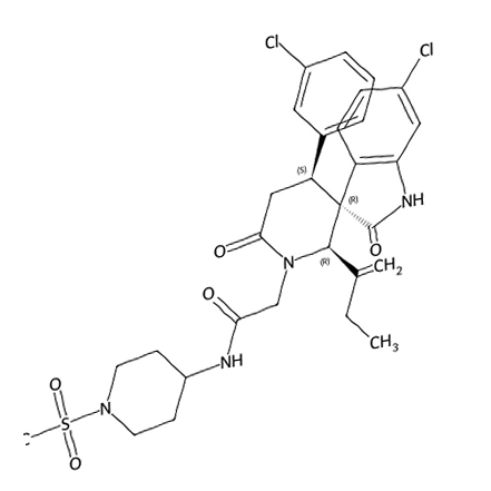 C=C(CC)[C@H]1N(CC(=O)NC2CCN(S(C)(=O)=O)CC2)C(=O)C[C@@H](c2cccc(Cl)c2)[C@]12C(=O)Nc1cc(Cl)ccc12